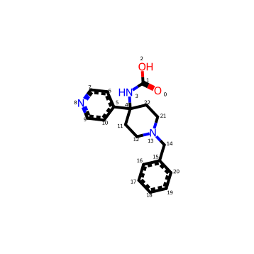 O=C(O)NC1(c2ccncc2)CCN(Cc2ccccc2)CC1